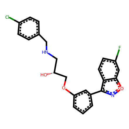 O[C@H](CNCc1ccc(Cl)cc1)COc1cccc(-c2noc3cc(F)ccc23)c1